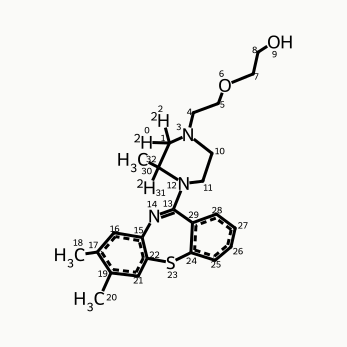 [2H]C1([2H])N(CCOCCO)CCN(C2=Nc3cc(C)c(C)cc3Sc3ccccc32)C1([2H])C